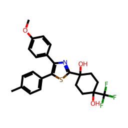 COc1ccc(-c2nc(C3(O)CCC(O)(C(F)(F)F)CC3)sc2-c2ccc(C)cc2)cc1